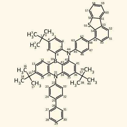 CC(C)(C)c1ccc2c(c1)B1c3ccc(C(C)(C)C)cc3N(c3ccc(-c4ccccc4)cc3)c3cc(C(C)(C)C)cc(c31)N2c1ccc(-c2cccc3c2sc2ccccc23)cc1